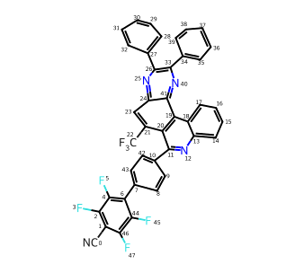 N#Cc1c(F)c(F)c(-c2ccc(-c3nc4ccccc4c4c3c(C(F)(F)F)cc3nc(-c5ccccc5)c(-c5ccccc5)nc34)cc2)c(F)c1F